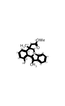 COC(=O)CC1(C)Cn2c(c(C)c3ccccc32)-c2c(F)cccc21